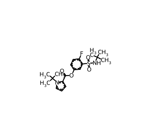 CC(C)(C)NS(=O)(=O)c1cc(OC(=O)c2cccn2C(C)(C)C)ccc1F